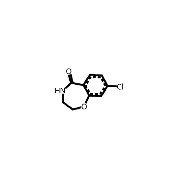 O=C1NCCOc2cc(Cl)ccc21